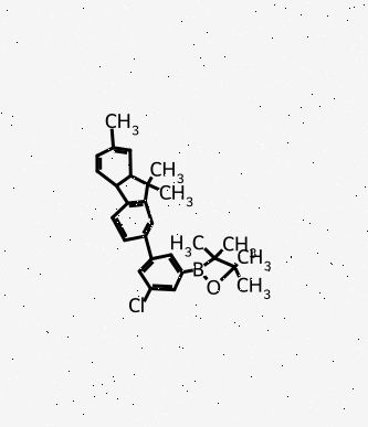 CC1=CC2C(C=C1)c1ccc(-c3cc(Cl)cc(B4OC(C)(C)C4(C)C)c3)cc1C2(C)C